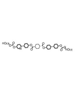 CCCCCCCCOC(=O)Oc1ccc(-c2ccc(OC(=O)[C@H]3CC[C@H](C(=O)Oc4ccc(-c5ccc(OC(=O)OCCCCCCCC)cn5)cc4)CC3)cc2)cc1